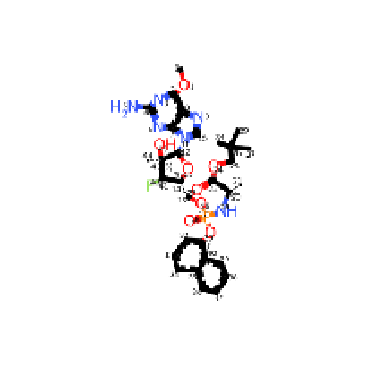 COc1nc(N)nc2c1ncn2[C@@H]1O[C@H](COP(=O)(N[C@@H](C)C(=O)OCC(C)(C)C)Oc2cccc3ccccc23)[C@@H](F)[C@@]1(C)O